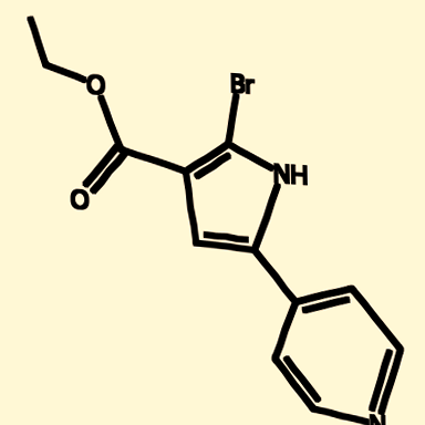 CCOC(=O)c1cc(-c2ccncc2)[nH]c1Br